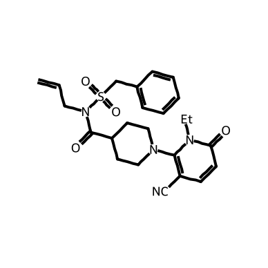 C=CCN(C(=O)C1CCN(c2c(C#N)ccc(=O)n2CC)CC1)S(=O)(=O)Cc1ccccc1